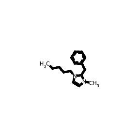 CCCCCN1C=CN(C)C1Cc1ccccc1